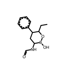 CCC1OB(O)C(NC=O)CC1c1ccccc1